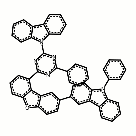 c1ccc(-c2nc(-c3cccc4oc5ccc(-c6ccc7c(c6)c6ccccc6n7-c6ccccc6)cc5c34)nc(-n3c4ccccc4c4ccccc43)n2)cc1